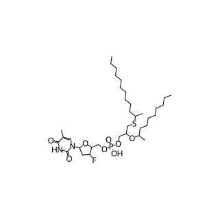 CCCCCCCCCCC(C)SCC(COP(=O)(O)OCC1OC(n2cc(C)c(=O)[nH]c2=O)CC1F)OC(C)CCCCCCCC